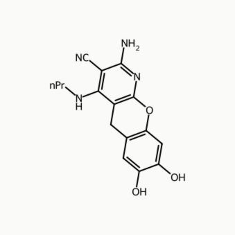 CCCNc1c(C#N)c(N)nc2c1Cc1cc(O)c(O)cc1O2